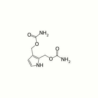 NC(=O)OCc1cc[nH]c1COC(N)=O